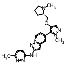 Cc1ccc(Nc2cc3cc(-c4c(OC[C@H]5CCCN5C)cnn4C)ccn3n2)nn1